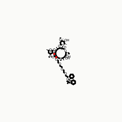 CC[C@H]1OC(=O)[C@H](C)[C@@H](O[C@H]2C[C@@](C)(OC)[C@@H](O)[C@H](C)O2)[C@H](C)[C@@H](O[C@@H]2O[C@H](C)C[C@H](N(C)C)[C@H]2OC(=O)COCCOCCOCCOCCO[Si](c2ccccc2)(c2ccccc2)C(C)(C)C)[C@](C)(O)C[C@@H](C)CN(C)[C@H](C)[C@@H](O)[C@]1(C)O